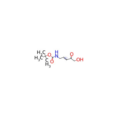 CC(C)(C)OC(=O)NC/C=C/C(=O)CO